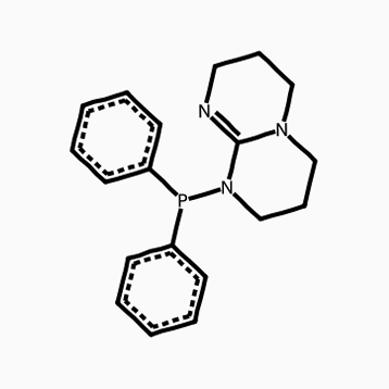 c1ccc(P(c2ccccc2)N2CCCN3CCCN=C32)cc1